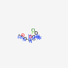 C[C@@H]1C[C@@H](c2ncc(-c3ccc(NC(=O)C4CC4)nc3)[nH]2)n2c1nc(-c1c(-n3cnnn3)ccc(Cl)c1F)cc2=O